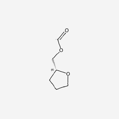 O=[C]OC[C@H]1CCCO1